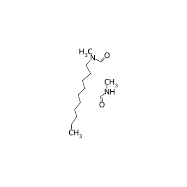 CCCCCCCCCCN(C)C=O.CNC=O